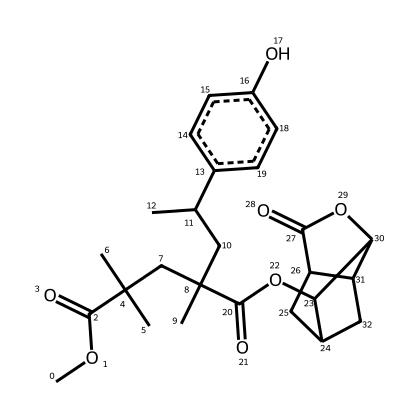 COC(=O)C(C)(C)CC(C)(CC(C)c1ccc(O)cc1)C(=O)OC1C2CC3C(=O)OC1C3C2